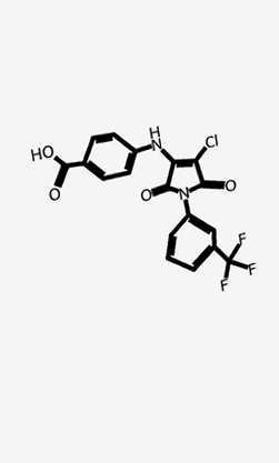 O=C(O)c1ccc(NC2=C(Cl)C(=O)N(c3cccc(C(F)(F)F)c3)C2=O)cc1